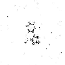 CCn1nnnc1-c1ccccn1